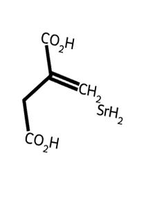 C=C(CC(=O)O)C(=O)O.[SrH2]